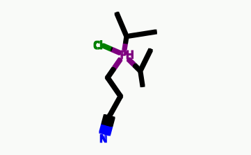 CC(C)[PH](Cl)(CCC#N)C(C)C